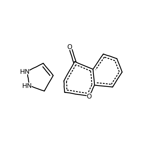 C1=CNNC1.O=c1ccoc2ccccc12